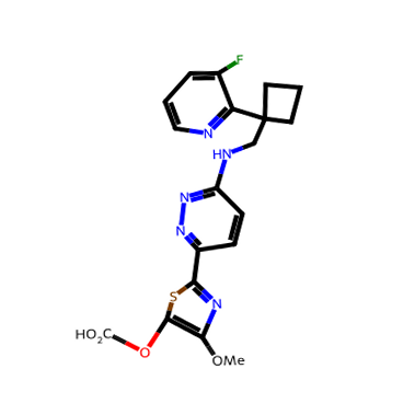 COc1nc(-c2ccc(NCC3(c4ncccc4F)CCC3)nn2)sc1OC(=O)O